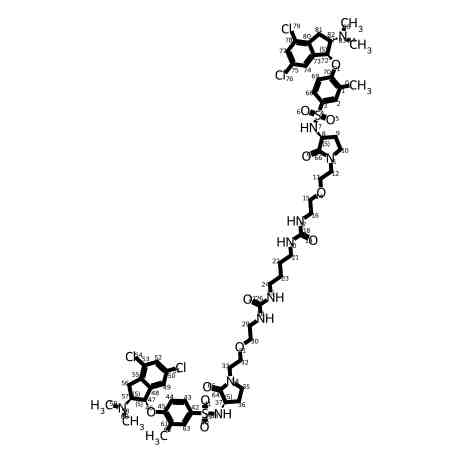 Cc1cc(S(=O)(=O)N[C@H]2CCN(CCOCCNC(=O)NCCCCNC(=O)NCCOCCN3CC[C@H](NS(=O)(=O)c4ccc(O[C@H]5c6cc(Cl)cc(Cl)c6C[C@@H]5N(C)C)c(C)c4)C3=O)C2=O)ccc1O[C@H]1c2cc(Cl)cc(Cl)c2C[C@@H]1N(C)C